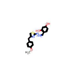 COc1ccc(Cc2csc(N/N=C\c3ccc(O)cc3O)n2)cc1